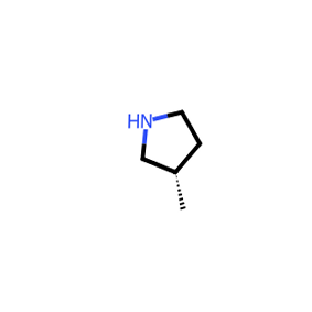 C[C@H]1CCNC1